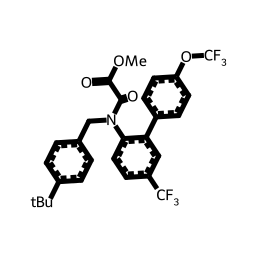 COC(=O)C(=O)N(Cc1ccc(C(C)(C)C)cc1)c1ccc(C(F)(F)F)cc1-c1ccc(OC(F)(F)F)cc1